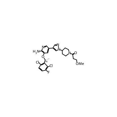 COCCC(=O)N1CCC(n2cc(-c3cnc(N)c(O[C@H](C)c4c(Cl)ccc(F)c4Cl)c3)cn2)CC1